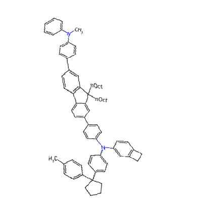 CCCCCCCCC1(CCCCCCCC)c2cc(-c3ccc(N(C)c4ccccc4)cc3)ccc2-c2ccc(-c3ccc(N(c4ccc(C5(c6ccc(C)cc6)CCCC5)cc4)c4ccc5c(c4)CC5)cc3)cc21